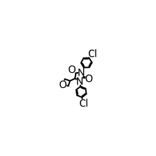 O=C1C(C2COC2)N(c2ccc(Cl)cc2)C(=O)N1c1ccc(Cl)cc1